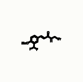 COc1ccc(/C=C/C(=O)NCC(C)C)cc1C(F)F